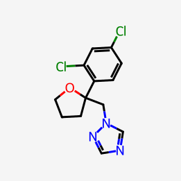 Clc1ccc(C2(Cn3cncn3)CCCO2)c(Cl)c1